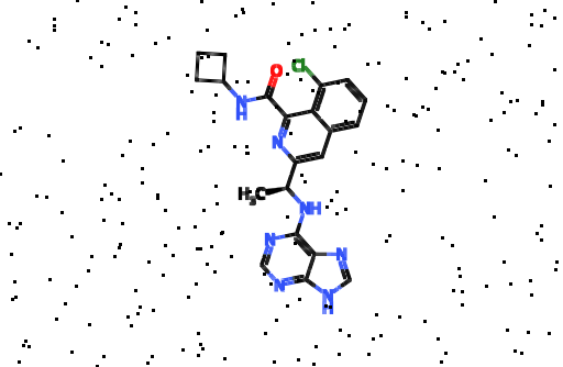 C[C@H](Nc1ncnc2[nH]cnc12)c1cc2cccc(Cl)c2c(C(=O)NC2CCC2)n1